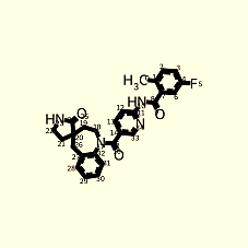 Cc1ccc(F)cc1C(=O)Nc1ccc(C(=O)N2CCC3(CCNC3=O)Cc3ccccc32)cn1